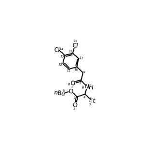 CCCCOC(=O)C(CC)NC(=O)Cc1ccc(Cl)c(Cl)c1